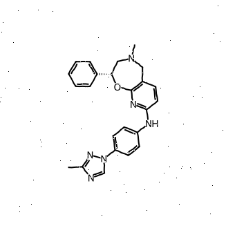 Cc1ncn(-c2ccc(Nc3ccc4c(n3)O[C@H](c3ccccc3)CN(C)C4)cc2)n1